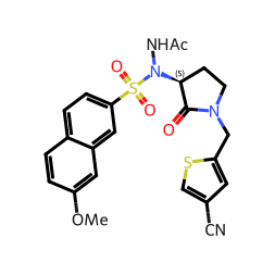 COc1ccc2ccc(S(=O)(=O)N(NC(C)=O)[C@H]3CCN(Cc4cc(C#N)cs4)C3=O)cc2c1